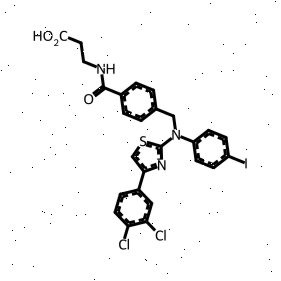 O=C(O)CCNC(=O)c1ccc(CN(c2ccc(I)cc2)c2nc(-c3ccc(Cl)c(Cl)c3)cs2)cc1